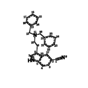 N#Cc1ccc2[nH]cc(CCN(Cc3ccccc3)Cc3ccccc3)c2c1